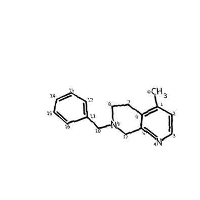 Cc1ccnc2c1CCN(Cc1ccccc1)C2